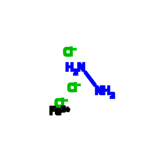 NN.[Cl-].[Cl-].[Cl-].[Fe+3]